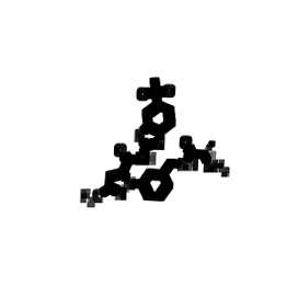 C[C@H](N)C(=O)NCc1cccc(-n2nc(C(F)(F)F)cc2C(=O)Nc2nc3ccc(S(C)(=O)=O)cc3s2)c1